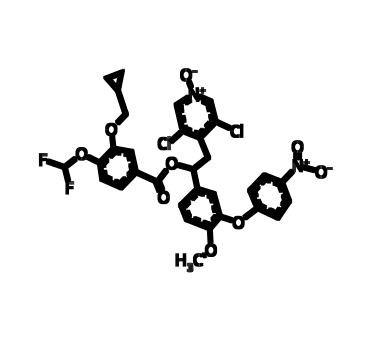 COc1ccc(C(Cc2c(Cl)c[n+]([O-])cc2Cl)OC(=O)c2ccc(OC(F)F)c(OCC3CC3)c2)cc1Oc1ccc([N+](=O)[O-])cc1